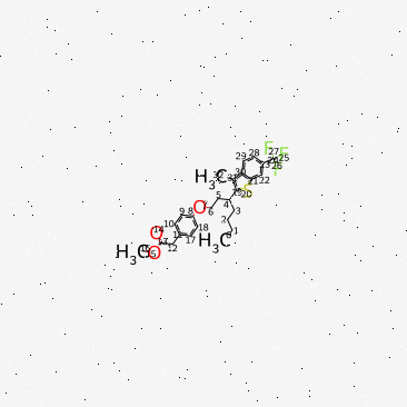 CCCCC(CCOc1ccc(CC(=O)OC)cc1)c1sc2cc(C(F)(F)F)ccc2c1C